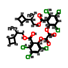 CCCC(COC(=O)c1c(Cl)c(Cl)cc(Cl)c1OC(=O)C(=O)Oc1c(Cl)cc(Cl)c(Cl)c1C(=O)OCC(CCC)C1CCC1)C1CCC1